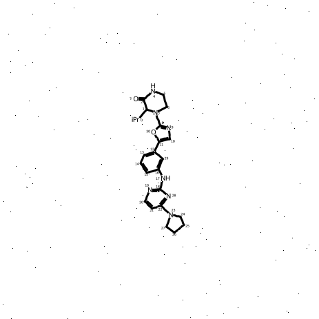 CC(C)C1C(=O)NCCN1c1ncc(-c2cccc(Nc3nccc(N4CCCC4)n3)c2)o1